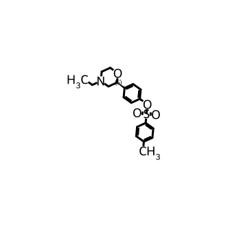 CCN1CCO[C@@H](c2ccc(OS(=O)(=O)c3ccc(C)cc3)cc2)C1